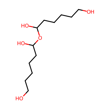 OCCCCCC(O)OC(O)CCCCCO